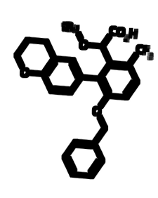 CC(C)(C)OC(C(=O)O)c1c(C(F)(F)F)ccc(OCc2ccccc2)c1-c1ccc2c(c1)CCCO2